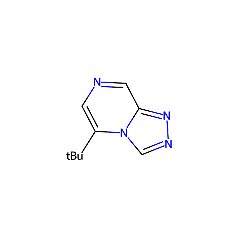 CC(C)(C)c1cncc2nncn12